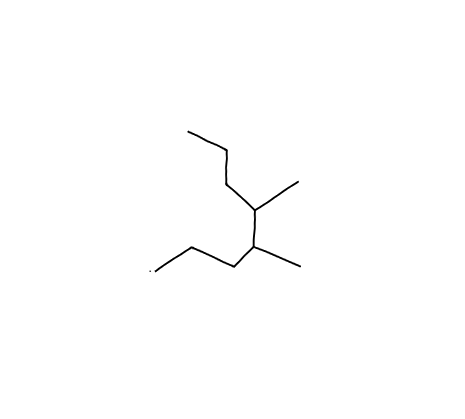 [CH2]CCC(C)C(C)CCC